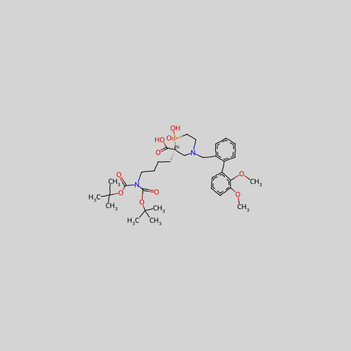 COc1cccc(-c2ccccc2CN2CCP(=O)(O)[C@](CCCCN(C(=O)OC(C)(C)C)C(=O)OC(C)(C)C)(C(=O)O)C2)c1OC